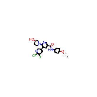 O=C(Nc1ccc(OC(F)(F)F)cc1)c1cnc(N2CCC(O)C2)c(-c2cnc(Cl)c(F)c2)c1